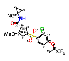 CO[C@@H]1C[C@H](S(=O)(=O)c2ccc(OC(C)C(F)(F)F)cc2Cl)C[C@H]1C(=O)NC1(C#N)CC1